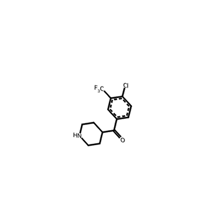 O=C(c1ccc(Cl)c(C(F)(F)F)c1)C1CCNCC1